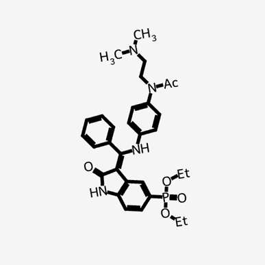 CCOP(=O)(OCC)c1ccc2c(c1)C(=C(Nc1ccc(N(CCN(C)C)C(C)=O)cc1)c1ccccc1)C(=O)N2